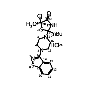 CCCCC1(N2CCN(c3nsc4ccccc34)CC2)NC(=O)C(C)(C)S1.Cl